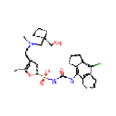 Cc1oc(S(=O)(=O)NC(=O)Nc2c3c(c(F)c4c2CCC4)CCC3)cc1CN(C)CC1(CO)CCC1